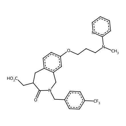 CN(CCCOc1ccc2c(c1)CN(Cc1ccc(C(F)(F)F)cc1)C(=O)C(CC(=O)O)C2)c1ccccn1